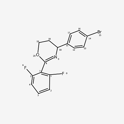 Fc1cccc(F)c1C1=NC(c2ccc(Br)cc2)CCO1